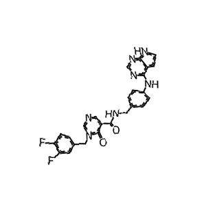 O=C(NCc1ccc(Nc2ncnc3[nH]ccc23)cc1)c1cncn(Cc2ccc(F)c(F)c2)c1=O